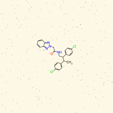 CC(c1ccc(Cl)cc1)C(CNC(=O)Cn1nc2ccccc2n1)c1ccc(Cl)cc1